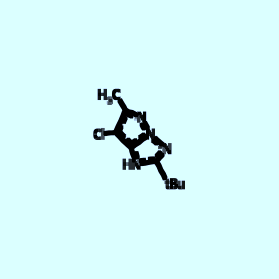 Cc1nn2nc(C(C)(C)C)[nH]c2c1Cl